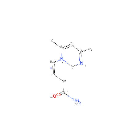 CC1=CC(C)=NCN1/C=C\CC(N)=O